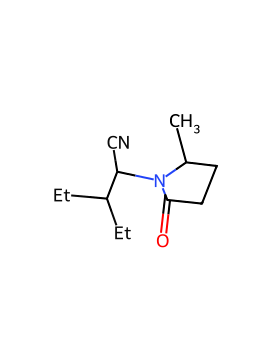 CCC(CC)C(C#N)N1C(=O)CCC1C